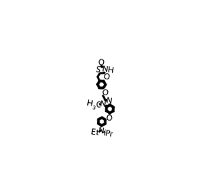 CCN(c1cccc(Oc2ccc3nc(COc4ccc(CC5SC(=O)NC5=O)cc4)n(C)c3c2)c1)C(C)C